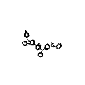 Cc1ccc(-n2c3ccccc3c3cc(-c4ccc(N(c5ccccc5)c5ccc(-c6nnc(-c7ccccc7)o6)cc5)cc4)ccc32)cc1